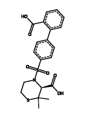 CC1(C)SCCN(S(=O)(=O)c2ccc(-c3ccccc3C(=O)O)cc2)[C@H]1C(=O)O